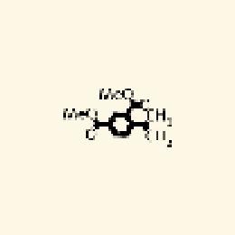 C=C(C)c1ccc(C(=O)OC)cc1C(=O)OC